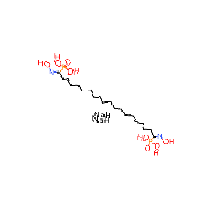 O=P(O)(O)/C(CCCCCCCCCCCCCCCCCC/C(=N/O)P(=O)(O)O)=N\O.[NaH].[NaH]